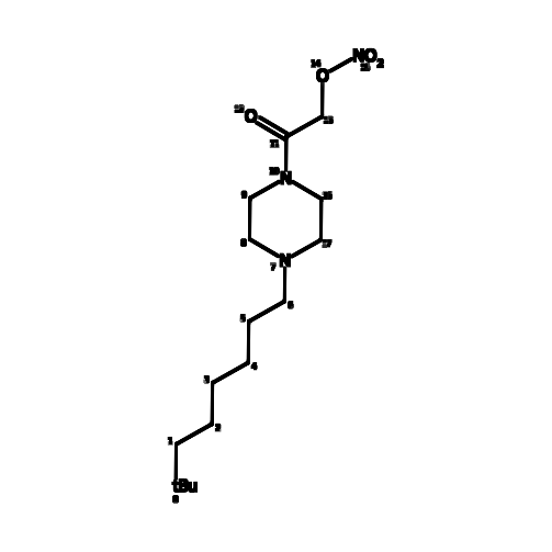 CC(C)(C)CCCCCCN1CCN(C(=O)CO[N+](=O)[O-])CC1